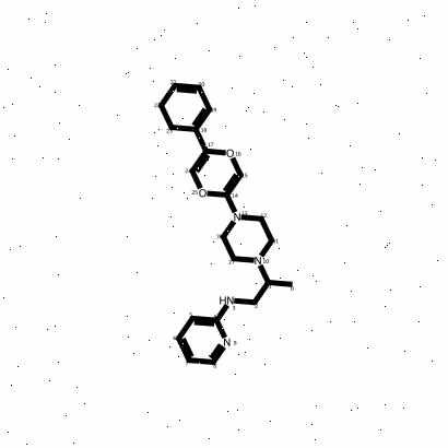 CC(CNc1ccccn1)N1CCN(C2=COC(C3=CC=CCC3)=CO2)CC1